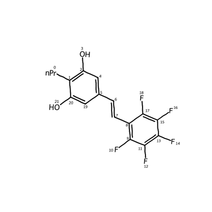 CCCc1c(O)cc(C=Cc2c(F)c(F)c(F)c(F)c2F)cc1O